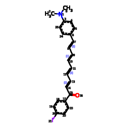 CN(C)c1ccc(/C=C/C=C/C=C/C=C/C(=O)c2ccc(I)cc2)cc1